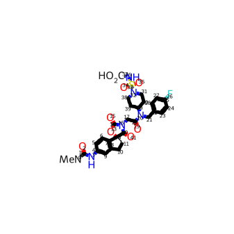 CNC(=O)Nc1ccc2c(c1)CC[C@@]21OC(=O)N(CC(=O)N(Cc2ccc(F)cc2)C2CCN(S(=O)(=O)NC(=O)O)CC2)C1=O